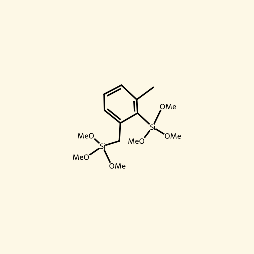 CO[Si](Cc1cccc(C)c1[Si](OC)(OC)OC)(OC)OC